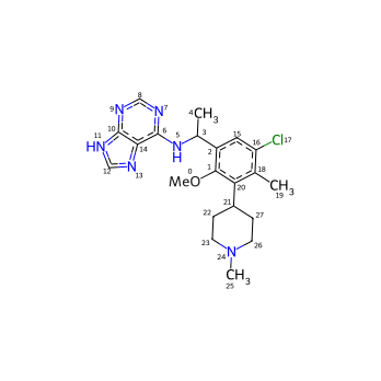 COc1c(C(C)Nc2ncnc3[nH]cnc23)cc(Cl)c(C)c1C1CCN(C)CC1